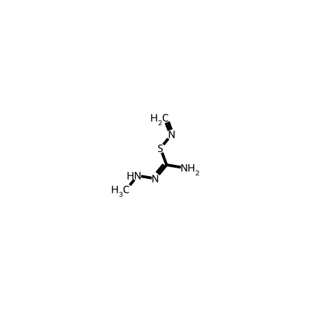 C=NS/C(N)=N\NC